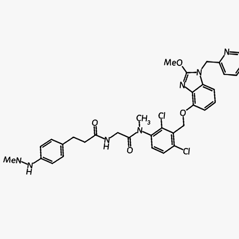 CNNc1ccc(CCC(=O)NCC(=O)N(C)c2ccc(Cl)c(COc3cccc4c3nc(OC)n4Cc3ccccn3)c2Cl)cc1